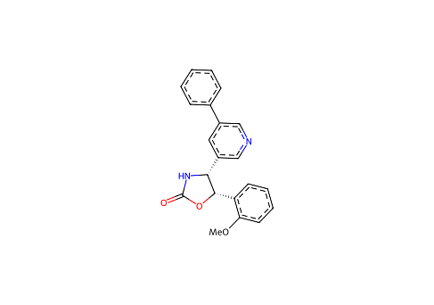 COc1ccccc1[C@@H]1OC(=O)N[C@@H]1c1cncc(-c2ccccc2)c1